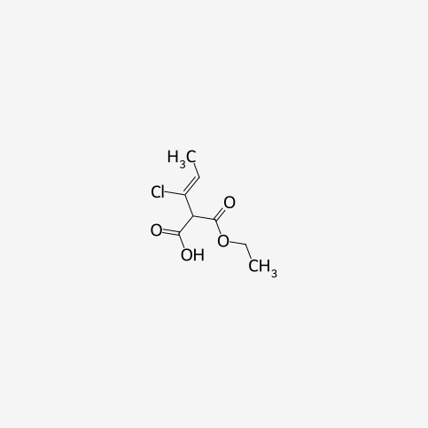 CC=C(Cl)C(C(=O)O)C(=O)OCC